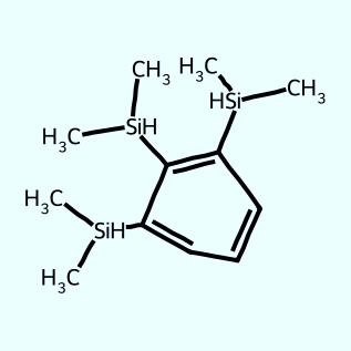 C[SiH](C)c1cccc([SiH](C)C)c1[SiH](C)C